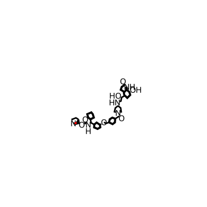 O=C(N[C@@H](c1ccccc1)c1cccc(OCc2ccc(C(=O)N3CCC(NCC(O)c4ccc(O)c5[nH]c(=O)ccc45)CC3)cc2)c1)OC1CN2CCC1CC2